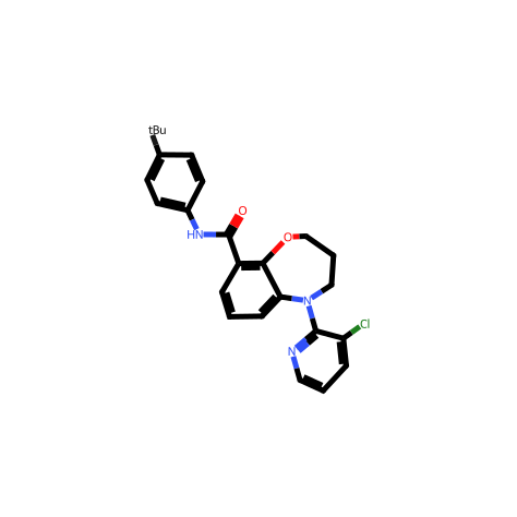 CC(C)(C)c1ccc(NC(=O)c2cccc3c2OCCCN3c2ncccc2Cl)cc1